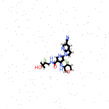 CC(C)(O)C(F)CNC(=O)c1cnc(-n2ccc3cc(C#N)cnc32)cc1NC1COCCC1F